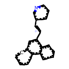 C(=C\c1cc2ccccc2c2ccccc12)/c1cccnc1